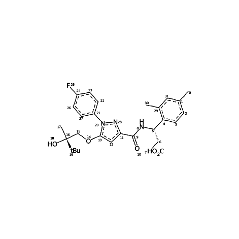 Cc1ccc([C@H](CC(=O)O)NC(=O)c2cc(OC[C@@](C)(O)C(C)(C)C)n(-c3ccc(F)cc3)n2)c(C)c1